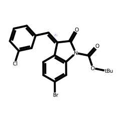 CC(C)(C)OC(=O)N1C(=O)/C(=C/c2cccc(Cl)c2)c2ccc(Br)cc21